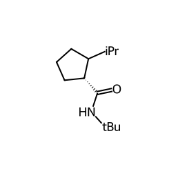 CC(C)C1CCC[C@H]1C(=O)NC(C)(C)C